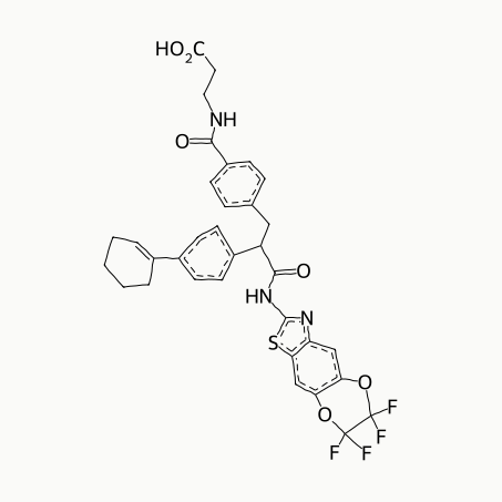 O=C(O)CCNC(=O)c1ccc(CC(C(=O)Nc2nc3cc4c(cc3s2)OC(F)(F)C(F)(F)O4)c2ccc(C3=CCCCC3)cc2)cc1